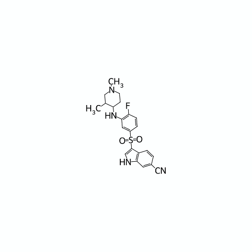 CC1CN(C)CCC1Nc1cc(S(=O)(=O)c2c[nH]c3cc(C#N)ccc23)ccc1F